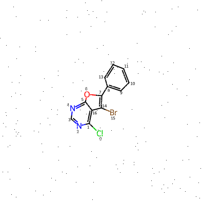 Clc1ncnc2oc(-c3ccccc3)c(Br)c12